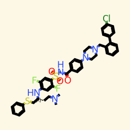 CN(C)CC[C@H](CSc1ccccc1)Nc1cc(F)c(S(=O)(=O)NC(=O)c2ccc(N3CCN(Cc4ccccc4-c4ccc(Cl)cc4)CC3)cc2)cc1F